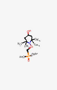 COP(=O)(CON1C(C)(C)CC(O)CC1(C)C)OC